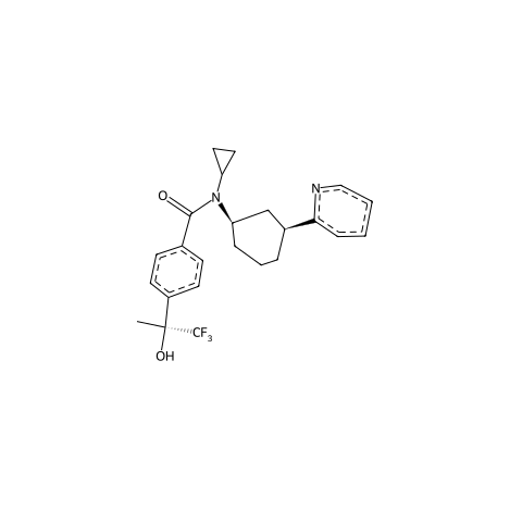 C[C@](O)(c1ccc(C(=O)N(C2CC2)[C@@H]2CCC[C@H](c3ccccn3)C2)cc1)C(F)(F)F